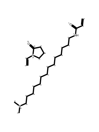 C=CC(=O)NCCCCCCCCCCCCCCN(C)C.C=CN1CCCC1=O